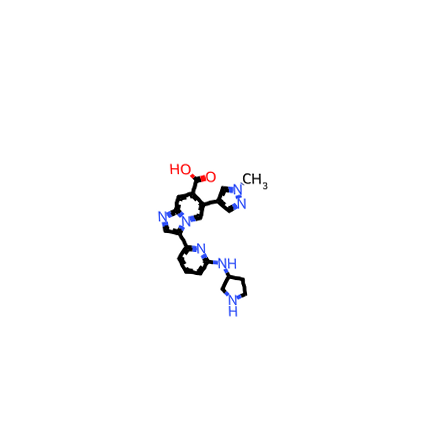 Cn1cc(-c2cn3c(-c4cccc(NC5CCNC5)n4)cnc3cc2C(=O)O)cn1